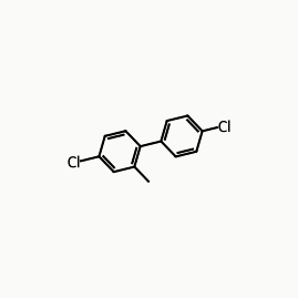 Cc1cc(Cl)ccc1-c1ccc(Cl)cc1